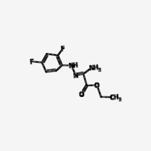 CCOC(=O)C(N)=NNc1ccc(F)cc1F